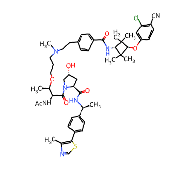 CC(=O)N[C@H](C(=O)N1C[C@H](O)C[C@H]1C(=O)N[C@@H](C)c1ccc(-c2scnc2C)cc1)[C@@H](C)OCCCN(C)CCc1ccc(C(=O)N[C@H]2C(C)(C)[C@H](Oc3ccc(C#N)c(Cl)c3)C2(C)C)cc1